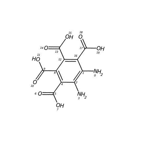 Nc1c(N)c(C(=O)O)c(C(=O)O)c(C(=O)O)c1C(=O)O